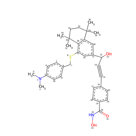 CN(C)c1ccc(CSc2cc(C(O)C#Cc3ccc(C(=O)NO)cc3)cc3c2C(C)(C)CCC3(C)C)cc1